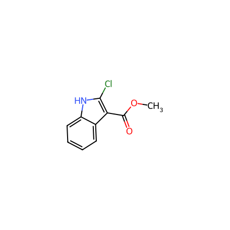 COC(=O)c1c(Cl)[nH]c2ccccc12